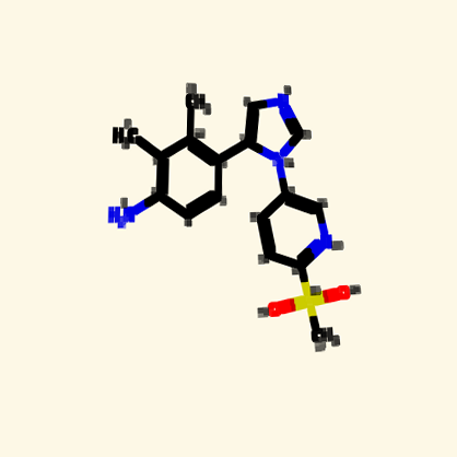 Cc1c(N)ccc(-c2cncn2-c2ccc(S(C)(=O)=O)nc2)c1C